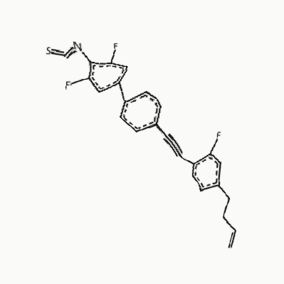 C=CCCc1ccc(C#Cc2ccc(-c3cc(F)c(N=C=S)c(F)c3)cc2)c(F)c1